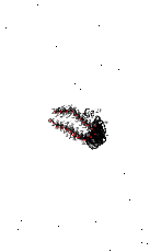 CCCCCCCCCCCCCCCCCC(=O)OS(=O)(=O)[O-].CCCCCCCCCCCCCCCCCC(=O)OS(=O)(=O)[O-].[Ca+2]